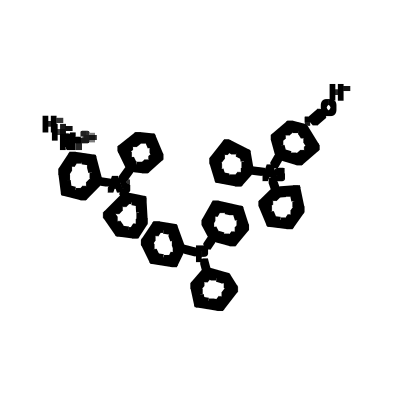 [C]=O.[H-].[H-].[H-].[Rh+3].c1ccc(P(c2ccccc2)c2ccccc2)cc1.c1ccc([As](c2ccccc2)c2ccccc2)cc1.c1ccc([As](c2ccccc2)c2ccccc2)cc1